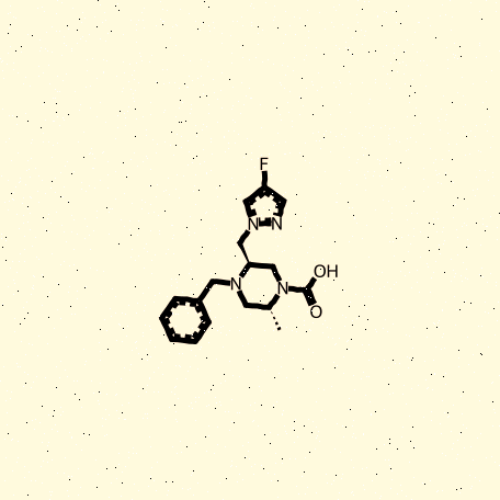 C[C@@H]1CN(Cc2ccccc2)[C@@H](Cn2cc(F)cn2)CN1C(=O)O